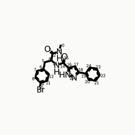 CNC(=O)C(Cc1ccc(Br)cc1)NC(=O)c1cc(-c2ccccc2)n[nH]1